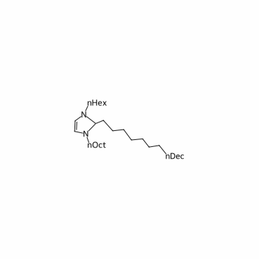 CCCCCCCCCCCCCCCCCC1N(CCCCCC)C=CN1CCCCCCCC